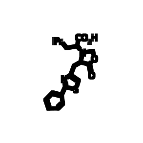 CC(C)CC(C(=O)O)N1COC(=O)C1Cc1csc(-c2ccccc2)n1